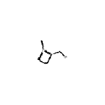 CC(C)C[C@H]1CCN1C